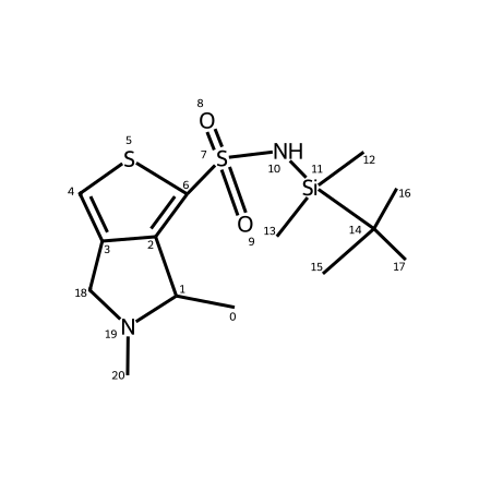 CC1c2c(csc2S(=O)(=O)N[Si](C)(C)C(C)(C)C)CN1C